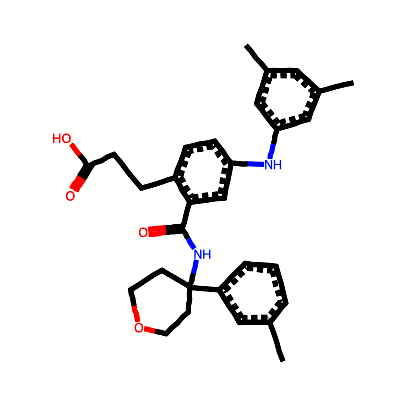 Cc1cc(C)cc(Nc2ccc(CCC(=O)O)c(C(=O)NC3(c4cccc(C)c4)CCOCC3)c2)c1